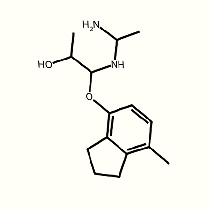 Cc1ccc(OC(NC(C)N)C(C)O)c2c1CCC2